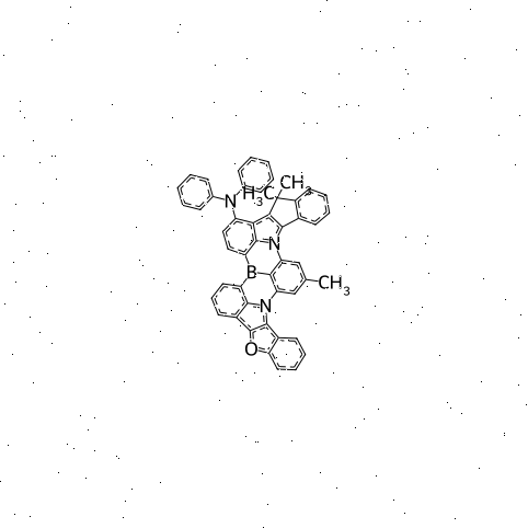 Cc1cc2c3c(c1)-n1c4c(cccc4c4oc5ccccc5c41)B3c1ccc(N(c3ccccc3)c3ccccc3)c3c4c(n-2c13)-c1ccccc1C4(C)C